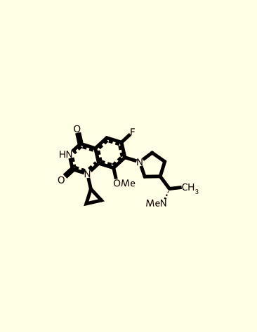 CN[C@@H](C)C1CCN(c2c(F)cc3c(=O)[nH]c(=O)n(C4CC4)c3c2OC)C1